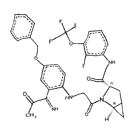 CC(=O)C(=N)c1cc(OCc2ccccc2)ccc1NCC(=O)N1[C@@H]2CC2C[C@H]1C(=O)Nc1cccc(OC(F)(F)F)c1F